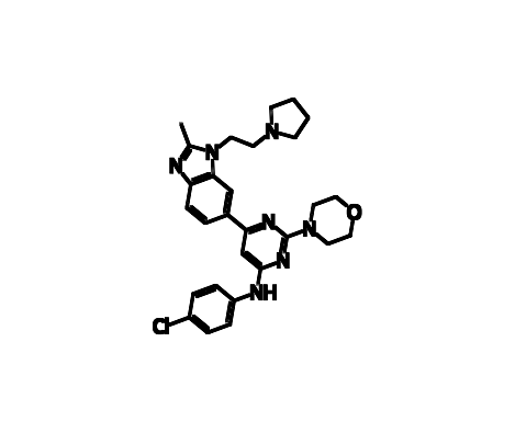 Cc1nc2ccc(-c3cc(Nc4ccc(Cl)cc4)nc(N4CCOCC4)n3)cc2n1CCN1CCCC1